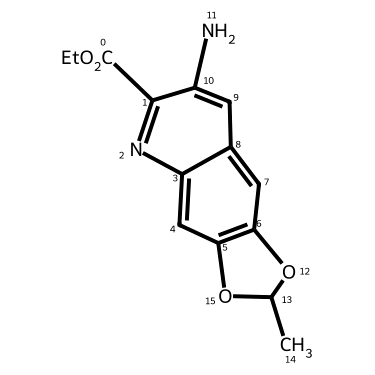 CCOC(=O)c1nc2cc3c(cc2cc1N)OC(C)O3